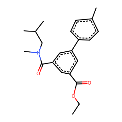 CCOC(=O)c1cc(C(=O)N(C)CC(C)C)cc(-c2ccc(C)cc2)c1